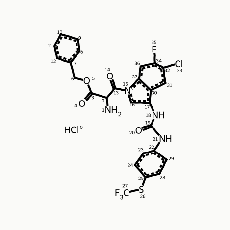 Cl.NC(C(=O)OCc1ccccc1)C(=O)n1cc(NC(=O)Nc2ccc(SC(F)(F)F)cc2)c2cc(Cl)c(F)cc21